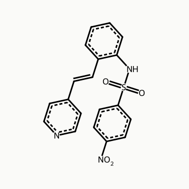 O=[N+]([O-])c1ccc(S(=O)(=O)Nc2ccccc2C=Cc2ccncc2)cc1